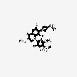 CC(C)NC1CN(c2c(F)cc3c(=O)c(C(=O)O)cn(-c4nc(N)c(F)cc4F)c3c2Br)C1.CS(=O)(=O)O